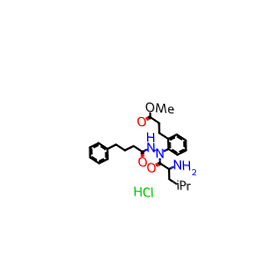 COC(=O)CCc1ccccc1N(NC(=O)CCCc1ccccc1)C(=O)C(N)CC(C)C.Cl